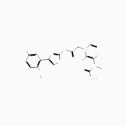 C=CN(CC(=O)Nc1nc(-c2cc(O)ccc2OCC)cs1)/C(C(C)=O)=C(\N)N(C)C(=O)NC